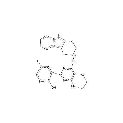 Oc1ncc(F)cc1-c1nc2c(c(N[C@@H]3CCc4[nH]c5ccccc5c4C3)n1)OCCN2